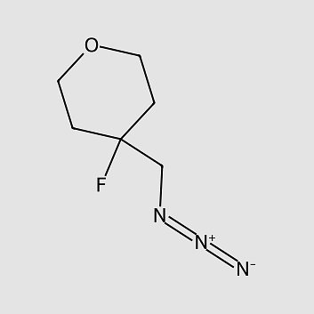 [N-]=[N+]=NCC1(F)CCOCC1